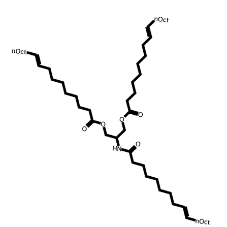 CCCCCCCCC=CCCCCCCCC(=O)NC(COC(=O)CCCCCCCC=CCCCCCCCC)COC(=O)CCCCCCCC=CCCCCCCCC